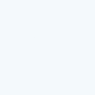 [CH]c1csc2ccccc12